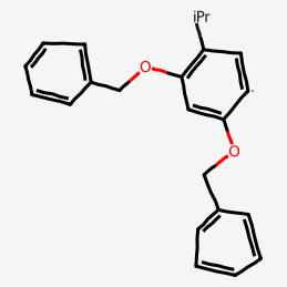 CC(C)c1c[c]c(OCc2ccccc2)cc1OCc1ccccc1